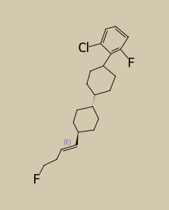 FCC/C=C/[C@H]1CC[C@H](C2CCC(c3c(F)cccc3Cl)CC2)CC1